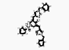 O=C1C(=Cc2cn(Cc3ccccc3)nn2)CN(S(=O)(=O)c2ccccc2)CC1=Cc1cn(Cc2ccccc2)nn1